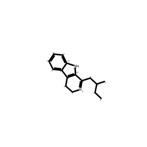 CCC(C)CC1=NCCc2c1[nH]c1ccccc21